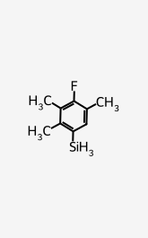 Cc1cc([SiH3])c(C)c(C)c1F